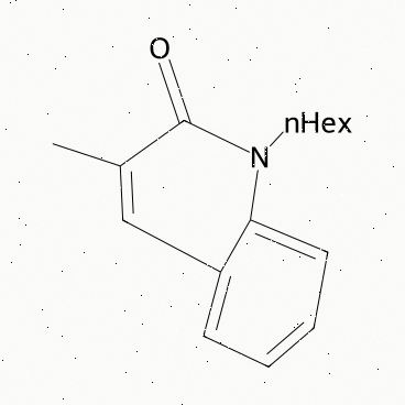 CCCCCCn1c(=O)c(C)cc2ccccc21